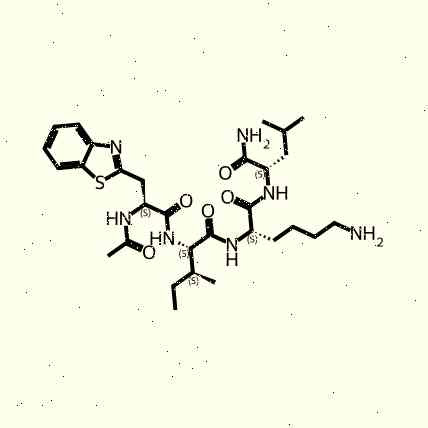 CC[C@H](C)[C@H](NC(=O)[C@H](Cc1nc2ccccc2s1)NC(C)=O)C(=O)N[C@@H](CCCCN)C(=O)N[C@@H](CC(C)C)C(N)=O